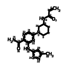 C=CC(=O)NC1CCCN(c2cnc(C(N)=O)c(Nc3cc(C)ns3)n2)C1